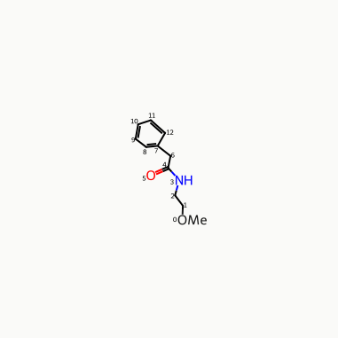 COCCNC(=O)Cc1ccccc1